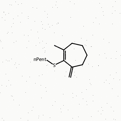 C=C1CCCCC(C)=C1SCCCCC